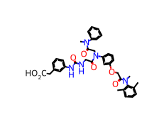 Cc1cccc(C)c1N(C)C(=O)COc1cccc(N(CC(=O)N(C)c2ccccc2)C(=O)CNC(=O)Nc2cccc(CC(=O)O)c2)c1